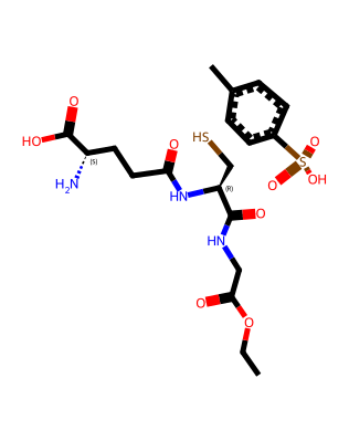 CCOC(=O)CNC(=O)[C@H](CS)NC(=O)CC[C@H](N)C(=O)O.Cc1ccc(S(=O)(=O)O)cc1